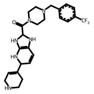 O=C(C1NC2=C(NC(C3=CCNCC3)C=C2)N1)N1CCN(Cc2ccc(C(F)(F)F)cc2)CC1